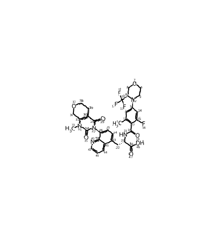 Cc1cc(N2CCOC[C@@H]2C(F)(F)F)cc(F)c1C(=O)N[C@@H](Cc1ccc(-n2c(=O)c3c(n(C)c2=O)COCC3)c2ncccc12)C(=O)O